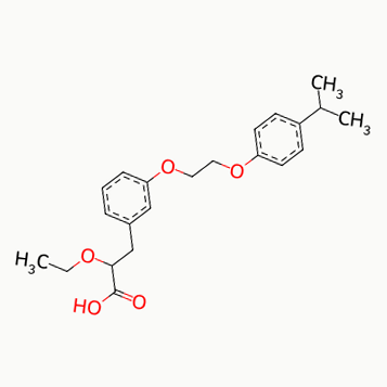 CCOC(Cc1cccc(OCCOc2ccc(C(C)C)cc2)c1)C(=O)O